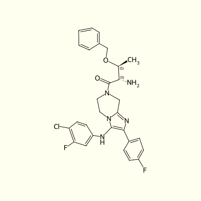 C[C@H](OCc1ccccc1)[C@H](N)C(=O)N1CCn2c(nc(-c3ccc(F)cc3)c2Nc2ccc(Cl)c(F)c2)C1